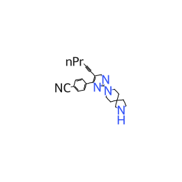 CCCC#Cc1cnc(N2CCC3(CCNC3)CC2)nc1-c1ccc(C#N)cc1